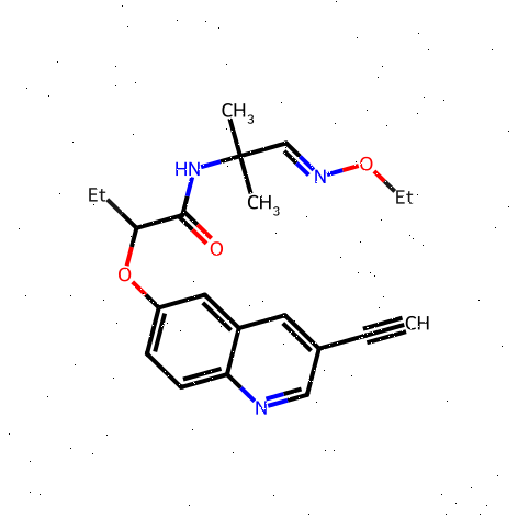 C#Cc1cnc2ccc(OC(CC)C(=O)NC(C)(C)C=NOCC)cc2c1